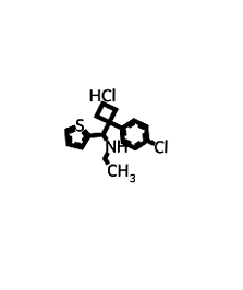 CCNC(c1cccs1)C1(c2ccc(Cl)cc2)CCC1.Cl